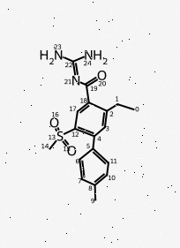 CCc1cc(-c2ccc(C)cc2)c(S(C)(=O)=O)cc1C(=O)N=C(N)N